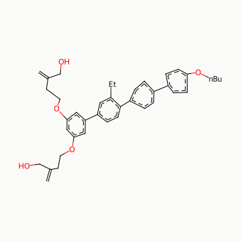 C=C(CO)CCOc1cc(OCCC(=C)CO)cc(-c2ccc(-c3ccc(-c4ccc(OCCCC)cc4)cc3)c(CC)c2)c1